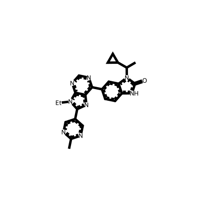 CCn1c(-c2cnc(C)nc2)nc2c(-c3ccc4[nH]c(=O)n(C(C)C5CC5)c4c3)ncnc21